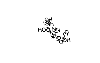 O=C(c1cc([C@H](O)C2CCOCC2)c(Cl)s1)c1cncnc1N[C@H]1C[C@H](O)[C@@H]([CH]NS(=O)(=O)O)C1